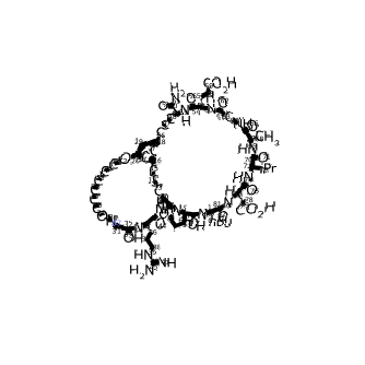 CCCC[C@@H]1NC(=O)[C@@H]2CCCN2C(=O)[C@@H]2CSCc3cc(cc(c3)OCCCCCCO/N=C/C(=O)N[C@@H](CCCNC(=N)N)C(=O)N2)CSC[C@@H](C(N)=O)NC(=O)[C@H](CCC(=O)O)NC(=O)CNC(=O)[C@H](C)NC(=O)C(C(C)C)NC(=O)[C@H](CC(=O)O)NC1=O